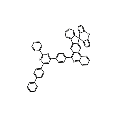 c1ccc(-c2ccc(-c3cc(-c4ccc(-c5nc6ccccc6c6cc7c(cc56)-c5ccccc5C75c6ccccc6Oc6ccccc65)cc4)nc(-c4ccccc4)n3)cc2)cc1